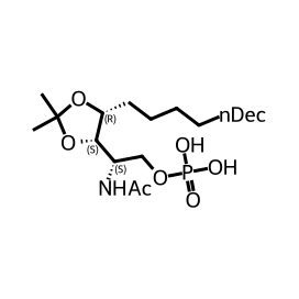 CCCCCCCCCCCCCC[C@H]1OC(C)(C)O[C@H]1[C@H](COP(=O)(O)O)NC(C)=O